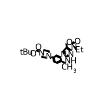 CCN1C(=O)OCc2cnc(NC(C)c3ccc(N4CCN(C(=O)OC(C)(C)C)CC4)cc3)nc21